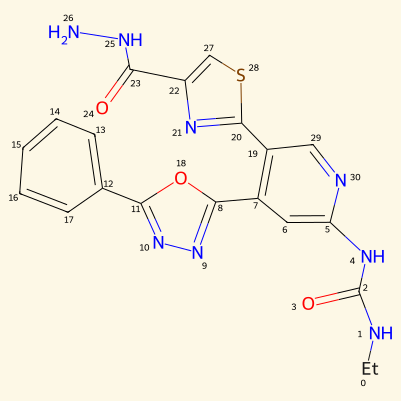 CCNC(=O)Nc1cc(-c2nnc(-c3ccccc3)o2)c(-c2nc(C(=O)NN)cs2)cn1